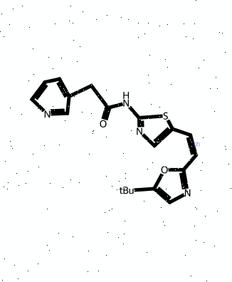 CC(C)(C)c1cnc(/C=C\c2cnc(NC(=O)Cc3cccnc3)s2)o1